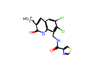 O=C(NCc1c(Cl)c(Cl)cc2cc(C(=O)O)c(=O)[nH]c12)c1cscn1